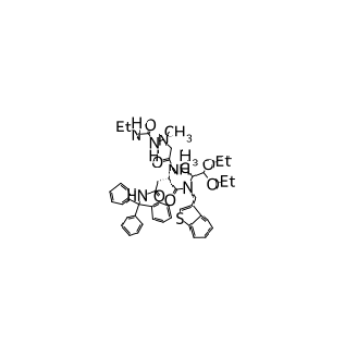 CCNC(=O)NN(C)CC(=O)N[C@@H](CC(=O)NC(c1ccccc1)(c1ccccc1)c1ccccc1)C(=O)N(Cc1csc2ccccc12)[C@@H](C)C(OCC)OCC